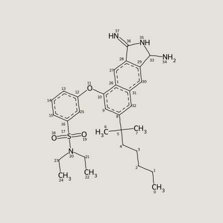 CCCCCC(C)(C)c1cc(Oc2cccc(S(=O)(=O)N(CC)CC)c2)c2cc3c(cc2c1)C(N)NC3=N